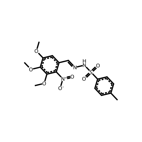 COc1cc(C=NNS(=O)(=O)c2ccc(C)cc2)c([N+](=O)[O-])c(OC)c1OC